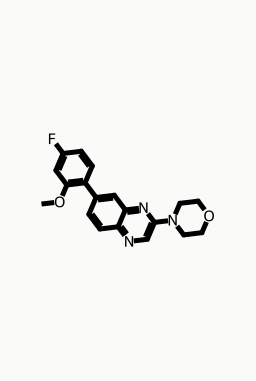 COc1cc(F)ccc1-c1ccc2ncc(N3CCOCC3)nc2c1